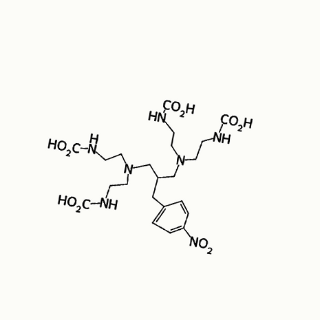 O=C(O)NCCN(CCNC(=O)O)CC(Cc1ccc([N+](=O)[O-])cc1)CN(CCNC(=O)O)CCNC(=O)O